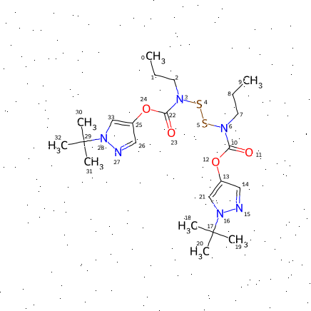 CCCN(SSN(CCC)C(=O)Oc1cnn(C(C)(C)C)c1)C(=O)Oc1cnn(C(C)(C)C)c1